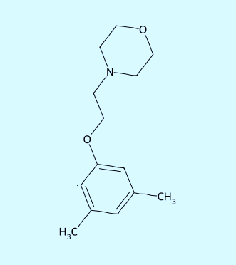 Cc1[c]c(OCCN2CCOCC2)cc(C)c1